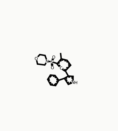 Cc1ccc(-c2c[nH]cc2-c2ccccc2)cc1S(=O)(=O)N1CCOCC1